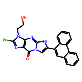 O=c1c2nc(Br)n(CCO)c2nc2[nH]c(-c3cc4ccccc4c4ccccc34)cn12